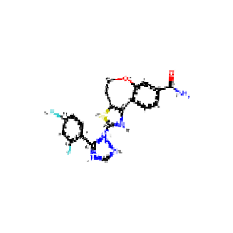 NC(=O)c1ccc2c(c1)OCCc1sc(-n3ncnc3-c3ccc(F)cc3F)nc1-2